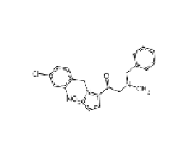 CN(CC(=O)c1cccn1Cc1ccc(Cl)cc1[N+](=O)[O-])Cc1ccccc1